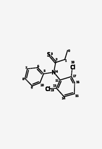 CCC(=S)N(c1ccccc1)c1c(Cl)cccc1Cl